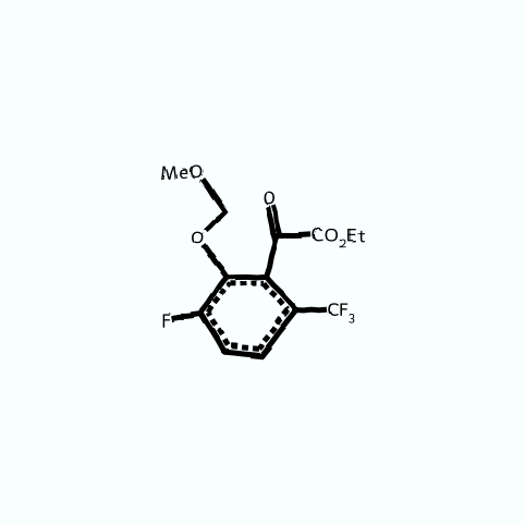 CCOC(=O)C(=O)c1c(C(F)(F)F)ccc(F)c1OCOC